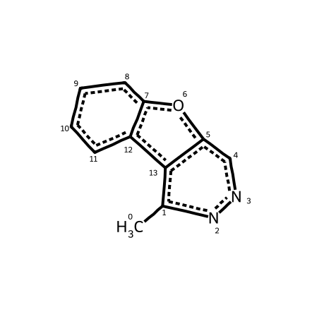 Cc1nncc2oc3ccccc3c12